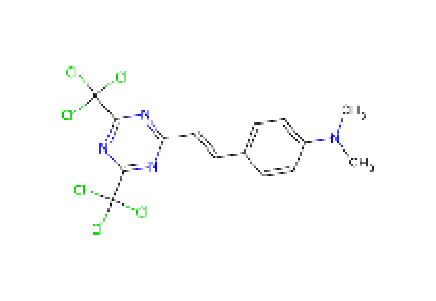 CN(C)c1ccc(/C=C/c2nc(C(Cl)(Cl)Cl)nc(C(Cl)(Cl)Cl)n2)cc1